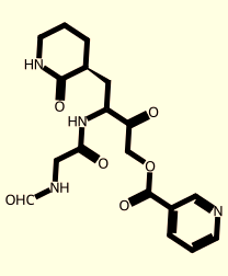 O=CNCC(=O)NC(C[C@@H]1CCCNC1=O)C(=O)COC(=O)c1cccnc1